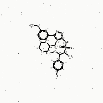 COc1cccc(-c2nnc(NS(=O)(=O)C(C)C(OC)c3ncc(Cl)cn3)n2C[C@H]2COCCO2)n1